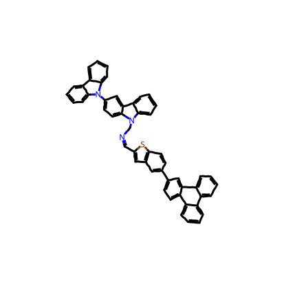 C(=N/Cn1c2ccccc2c2cc(-n3c4ccccc4c4ccccc43)ccc21)/c1cc2cc(-c3ccc4c5ccccc5c5ccccc5c4c3)ccc2s1